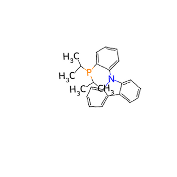 CC(C)P(c1ccccc1-n1c2ccccc2c2ccccc21)C(C)C